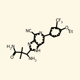 CCOc1ccc(-c2cc3[nH]c(C(N)C(C)(C)C(N)=O)nc3c(C#N)n2)cc1C(F)(F)F